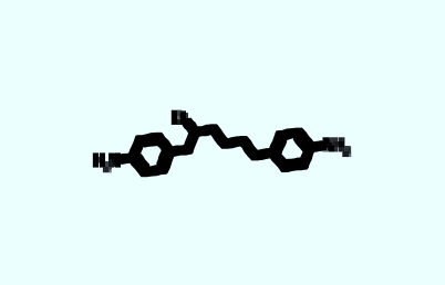 CCC(CCCCc1ccc(N)cc1)Cc1ccc(N)cc1